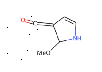 COC1NC=CC1=C=O